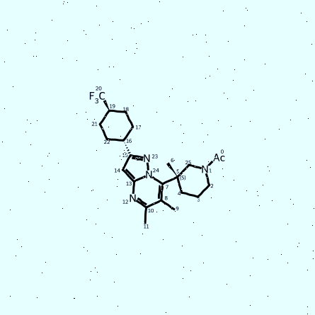 CC(=O)N1CCC[C@](C)(c2c(C)c(C)nc3cc([C@H]4CC[C@H](C(F)(F)F)CC4)nn23)C1